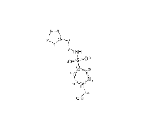 O=S(=O)(NCCN1CCCC1)c1ccc(CCl)nc1